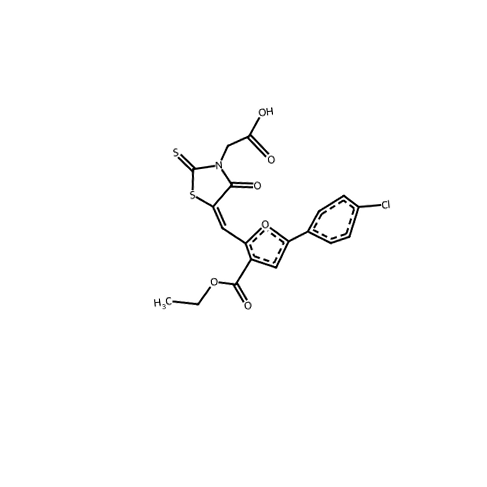 CCOC(=O)c1cc(-c2ccc(Cl)cc2)oc1C=C1SC(=S)N(CC(=O)O)C1=O